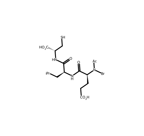 CC(=O)N(Br)[C@@H](CCC(=O)O)C(=O)N[C@@H](CC(C)C)C(=O)N[C@@H](CS)C(=O)O